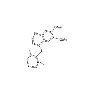 COc1cc2nncc(Oc3c(C)cccc3C)c2cc1OC